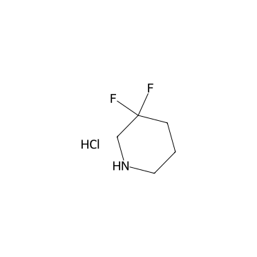 Cl.FC1(F)CCCNC1